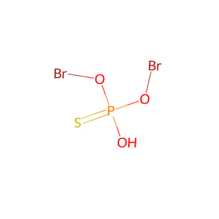 OP(=S)(OBr)OBr